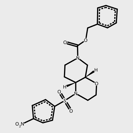 O=C(OCc1ccccc1)N1CC[C@@H]2[C@H](C1)OCCN2S(=O)(=O)c1ccc([N+](=O)[O-])cc1